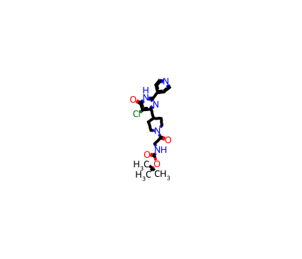 CC(C)(C)OC(=O)NCC(=O)N1CCC(c2nc(-c3ccncc3)[nH]c(=O)c2Cl)CC1